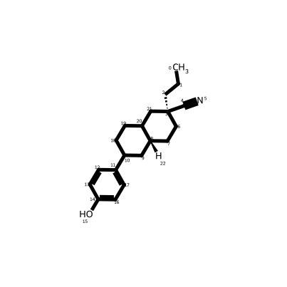 CCC[C@]1(C#N)CC[C@@H]2CC(c3ccc(O)cc3)CCC2C1